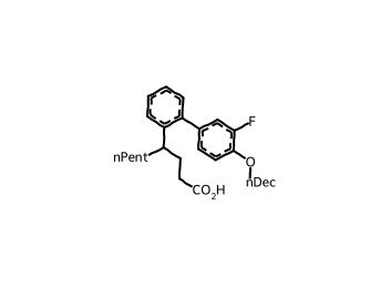 CCCCCCCCCCOc1ccc(-c2ccccc2C(CCCCC)CCC(=O)O)cc1F